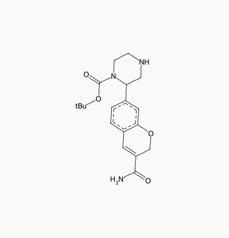 CC(C)(C)OC(=O)N1CCNCC1c1ccc2c(c1)OCC(C(N)=O)=C2